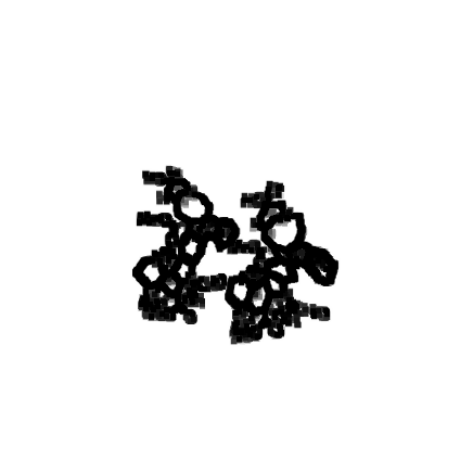 CC[C@]1(O)C[C@H]2C[N@](CCc3c([nH]c4ccccc34)[C@@](C(=O)OC)(c3cc4c(cc3OC)N(C=O)[C@H]3[C@@](O)(C(=O)OC)[C@H](OC(C)=O)[C@]5(CC)C=CCN6CC[C@]43[C@@H]65)C2)C1.CC[C@]1(O)C[C@H]2C[N@](CCc3c([nH]c4ccccc34)[C@@](C(=O)OC)(c3cc4c(cc3OC)N(C=O)[C@H]3[C@@](O)(C(=O)OC)[C@H](OC(C)=O)[C@]5(CC)C=CCN6CC[C@]43[C@@H]65)C2)C1